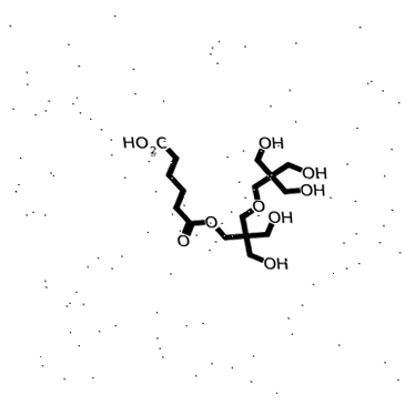 O=C(O)CCCCC(=O)OCC(CO)(CO)COCC(CO)(CO)CO